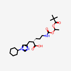 CC(OC(=O)NCCC[C@@H](Cc1cn(C2CCCCC2)cn1)C(=O)O)OC(=O)C(C)(C)C